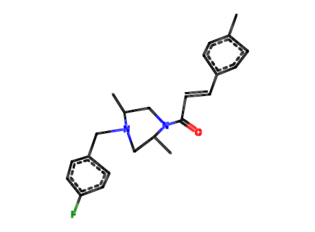 Cc1ccc(C=CC(=O)N2CC(C)N(Cc3ccc(F)cc3)CC2C)cc1